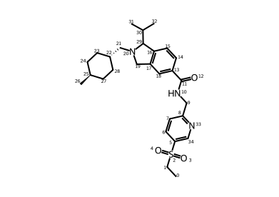 CCS(=O)(=O)c1ccc(CNC(=O)c2ccc3c(c2)CN(C[C@H]2CC[C@H](C)CC2)C3C(C)C)nc1